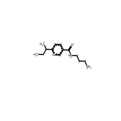 CCC(C)c1ccc(C(=O)NCCCN)cn1